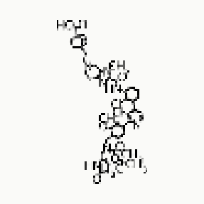 COc1cc(-c2nccc(-c3cccc(NC(=O)c4nc5c(n4C)CN(CCC46CCC(C(=O)O)(CC4)C6)CC5)c3Cl)c2Cl)ccc1CN(C[C@@H]1CCC(=O)N1)C(=O)OC(C)(C)C